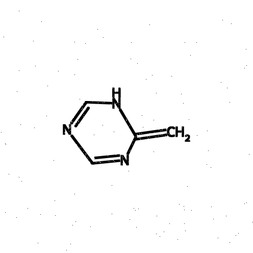 C=C1N=CN=CN1